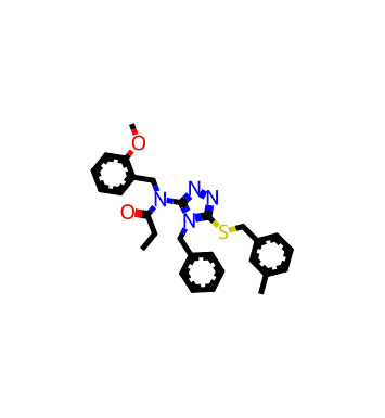 CCC(=O)N(Cc1ccccc1OC)c1nnc(SCc2cccc(C)c2)n1Cc1ccccc1